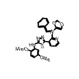 COc1ccc(OC)c(Nc2nnc(-c3cccnc3N(Cc3ccccc3)C3=COCO3)[nH]2)c1